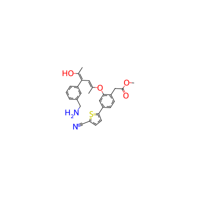 COC(=O)Cc1ccc(-c2ccc(C#N)s2)cc1O/C(C)=C/C(=C(\C)O)c1cccc(CN)c1